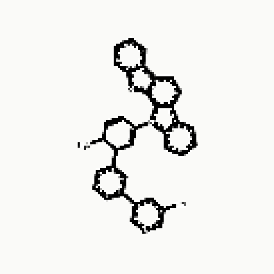 CC1C=CC(n2c3ccccc3c3ccc4c5ccccc5oc4c32)=CC1c1cccc(-c2cncc(C#N)c2)c1